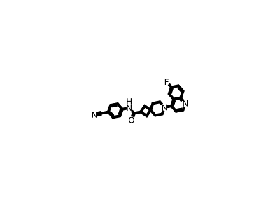 N#Cc1ccc(NC(=O)C2CC3(CCN(c4ccnc5ccc(F)cc45)CC3)C2)cc1